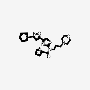 O=C(c1cccs1)N(CCCN1CCOCC1)c1nc(-c2cc(-c3ccccc3)no2)cs1